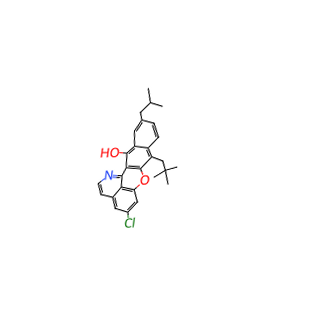 CC(C)Cc1ccc2c(CC(C)(C)C)c3c(c(O)c2c1)-c1nccc2cc(Cl)cc(c12)O3